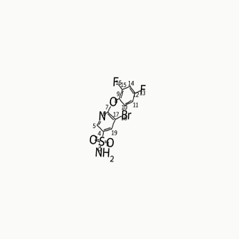 NS(=O)(=O)c1cnc(Oc2ccc(F)cc2F)c(Br)c1